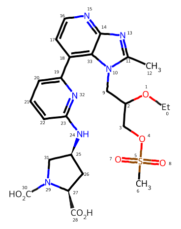 CCOC(COS(C)(=O)=O)Cn1c(C)nc2nccc(-c3cccc(N[C@H]4C[C@@H](C(=O)O)N(C(=O)O)C4)n3)c21